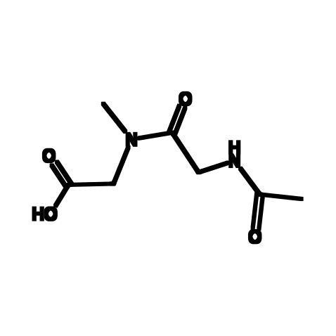 CC(=O)NCC(=O)N(C)CC(=O)O